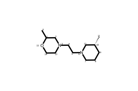 CC1CN(CCN2CCC[C@@H](C)C2)CCO1